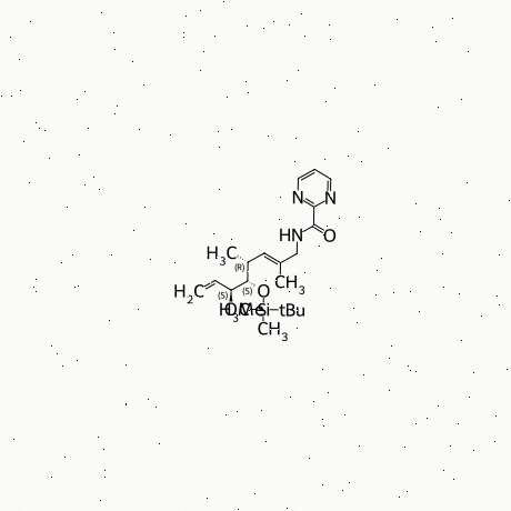 C=C[C@H](OC)[C@@H](O[Si](C)(C)C(C)(C)C)[C@H](C)C=C(C)CNC(=O)c1ncccn1